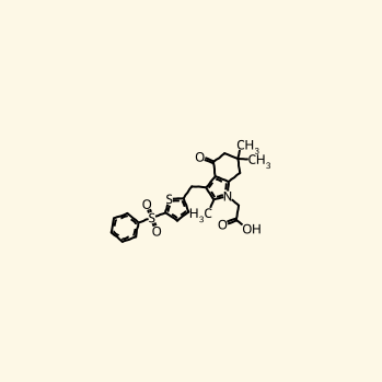 Cc1c(Cc2ccc(S(=O)(=O)c3ccccc3)s2)c2c(n1CC(=O)O)CC(C)(C)CC2=O